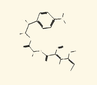 C=N/C(C(=O)N[C@@H](C)C(=O)O[C@@H](C)[C@@H](C)c1ccc(N(C)C)cc1)=C(O)\C(=C/C)OC